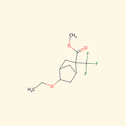 CCOC1CC2CC1CC2(C(=O)OC)C(F)(F)F